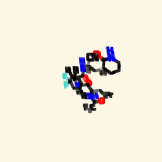 CC(C)C[C@H](NC(=O)C(F)(F)F)C(=O)N1[C@@H]2CC[C@H]([C@@H]1C(=O)N[C@H](C#N)C[C@H]1CCCNC1=O)C(F)(F)C2